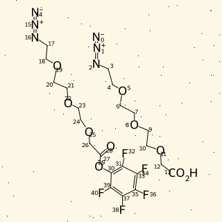 [N-]=[N+]=NCCOCCOCCOCC(=O)O.[N-]=[N+]=NCCOCCOCCOCC(=O)Oc1c(F)c(F)c(F)c(F)c1F